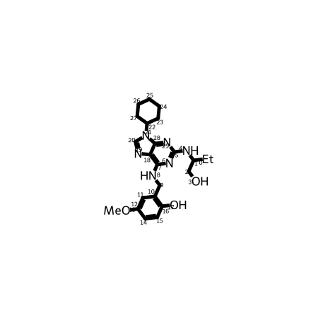 CCC(CO)Nc1nc(NCc2cc(OC)ccc2O)c2ncn(C3CCCCC3)c2n1